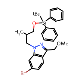 COCc1nn(CC(C)CO[Si](c2ccccc2)(c2ccccc2)C(C)(C)C)c2cc(Br)ccc12